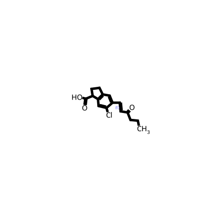 CCCC(=O)/C=C/c1cc2c(cc1Cl)C(C(=O)O)CC2